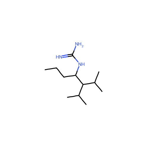 CCCC(NC(=N)N)C(C(C)C)C(C)C